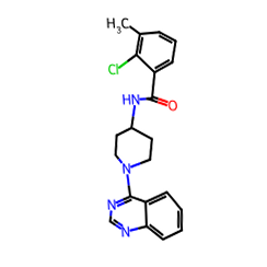 Cc1cccc(C(=O)NC2CCN(c3ncnc4ccccc34)CC2)c1Cl